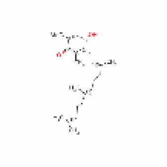 COC1=C[C@H](O)[C@H](C/C=C(\C)CC/C=C(\C)CCC=C(C)C)[C@@H](C)C1=O